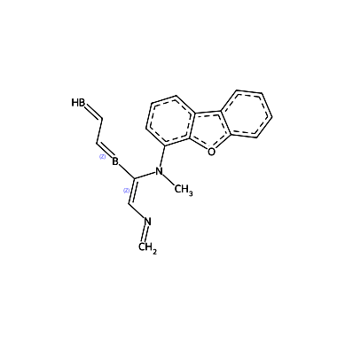 B=C/C=B\C(=C\N=C)N(C)c1cccc2c1oc1ccccc12